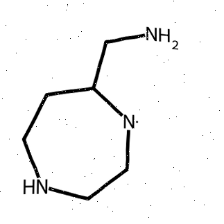 NCC1CCNCC[N]1